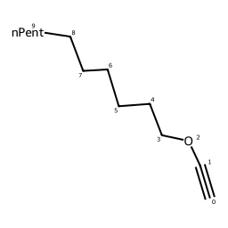 C#COCCCCCCCCCCC